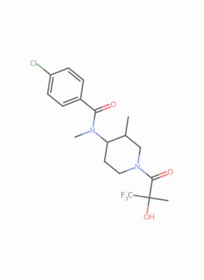 CC1CN(C(=O)C(C)(O)C(F)(F)F)CCC1N(C)C(=O)c1ccc(Cl)cc1